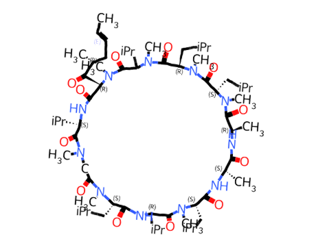 C/C=C/C[C@@H](C)C(=O)[C@@H]1C(=O)N[C@@H](C(C)C)C(=O)N(C)CC(=O)N(C)[C@@H](CC(C)C)C(=O)N[C@H](C(C)C)C(=O)N(C)[C@@H](CC(C)C)C(=O)N[C@@H](C)C(=O)N[C@H](C)C(=O)N(C)[C@@H](CC(C)C)C(=O)N(C)[C@H](CC(C)C)C(=O)N(C)C(C(C)C)C(=O)N1C